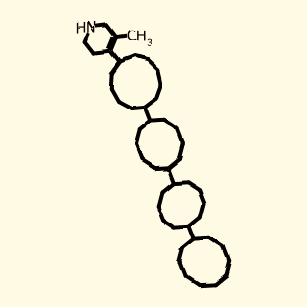 CC1=C(C2CCCCCC(C3CCCCC(C4CCCCC(C5CCCCCCCCC5)CCCC4)CCCC3)CCCC2)CCNC1